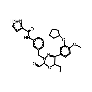 CCC1OC(C=O)N(Cc2cccc(NC(=O)c3cc[nH]n3)c2)N=C1c1ccc(OC)c(OC2CCCC2)c1